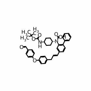 CC(C)(C)OC(=O)N[C@H]1CC[C@H](N(C(=O)O)c2cc(C=CCc3ccc(Oc4ccc(C=O)cc4)cc3)ccc2-c2ccccc2)CC1